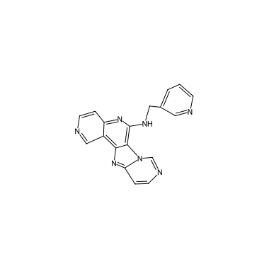 c1cncc(CNc2nc3ccncc3c3nc4ccncn4c23)c1